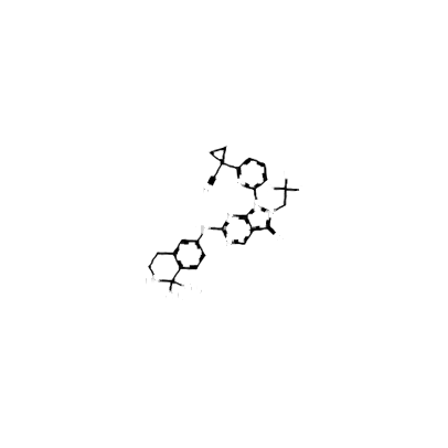 CC1(C)NCCc2cc(Nc3ncc4c(=O)n(CC(F)(F)F)n(-c5cccc(C6(C#N)CC6)n5)c4n3)ccc21